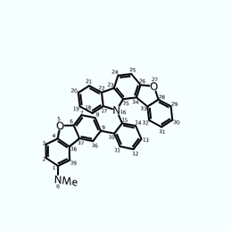 CNc1ccc2oc3ccc(-c4ccccc4-n4c5ccccc5c5ccc6oc7ccccc7c6c54)cc3c2c1